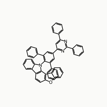 c1ccc(-c2cc(-c3cc(-c4ccccc4)c(-n4c5ccccc5c5ccc6oc7ccccc7c6c54)c(-c4ccccc4)c3)nc(-c3ccccc3)n2)cc1